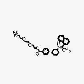 CCOCCOCCOCCOC(=O)c1ccc([C@H]2CCC[C@H](N[C@H](C)c3cccc4ccccc34)C2)cc1